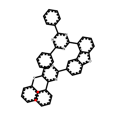 c1ccc(Sc2cnc(-c3ccc4oc5cccc(-c6nc(-c7ccccc7)nc(-c7ccccc7)n6)c5c4c3)nc2-c2ccccc2)cc1